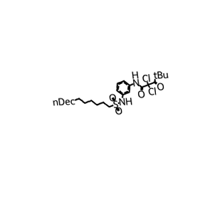 CCCCCCCCCCCCCCCCS(=O)(=O)Nc1cccc(NC(=O)C(Cl)(Cl)C(=O)C(C)(C)C)c1